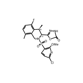 COc1nc(Cl)ccc1S(=O)(=O)N[C@H](c1n[nH]c(=O)o1)[C@H](C)c1c(F)ccc(C)c1C